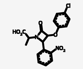 CC(C(=O)O)N1C(=O)C(Oc2ccc(Cl)cc2)C1c1ccccc1[N+](=O)[O-]